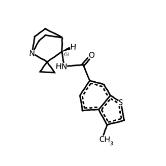 Cc1csc2cc(C(=O)N[C@H]3C4CCN(CC4)C34CC4)ccc12